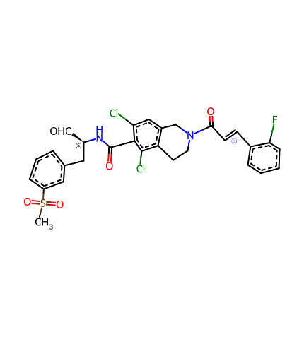 CS(=O)(=O)c1cccc(C[C@@H](C=O)NC(=O)c2c(Cl)cc3c(c2Cl)CCN(C(=O)/C=C/c2ccccc2F)C3)c1